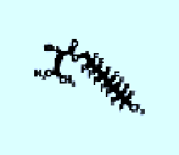 CC(C)=C=C(C(=O)OCC(F)(F)C(F)(F)C(F)(F)C(F)(F)C(F)(F)C(F)(F)C(F)(F)C(F)(F)F)C(C)(C)C